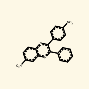 O=[N+]([O-])c1ccc(-c2nc3ccc([N+](=O)[O-])cc3nc2-c2ccccc2)cc1